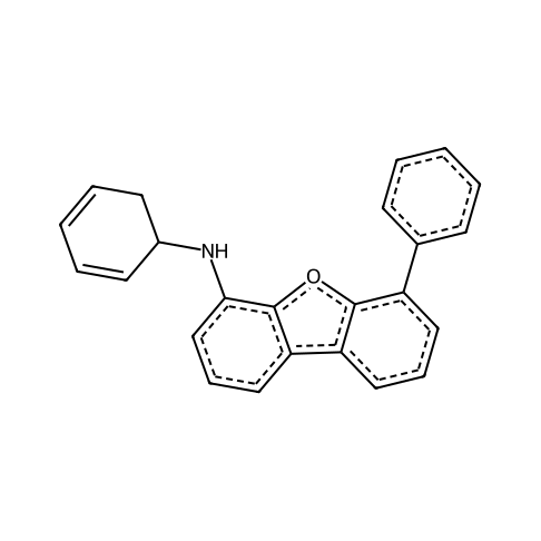 C1=CCC(Nc2cccc3c2oc2c(-c4ccccc4)cccc23)C=C1